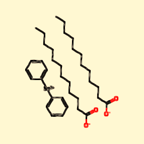 CCCCCCCCCCCC(=O)[O-].CCCCCCCCCCCC(=O)[O-].c1cc[c]([Sn+2][c]2ccccc2)cc1